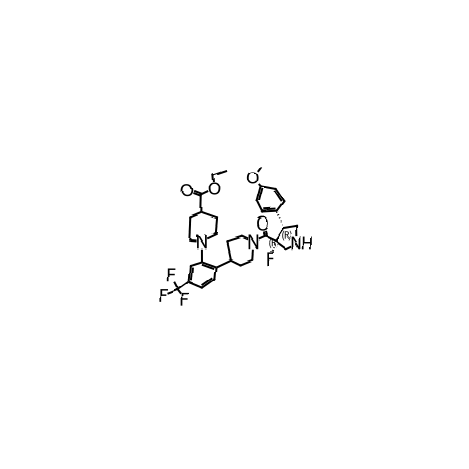 CCOC(=O)C1CCN(c2cc(C(F)(F)F)ccc2C2CCN(C(=O)[C@]3(F)CNC[C@H]3c3ccc(OC)cc3)CC2)CC1